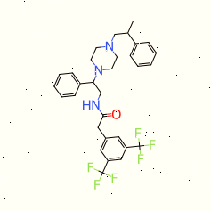 CC(CN1CCN(C(CNC(=O)Cc2cc(C(F)(F)F)cc(C(F)(F)F)c2)c2ccccc2)CC1)c1ccccc1